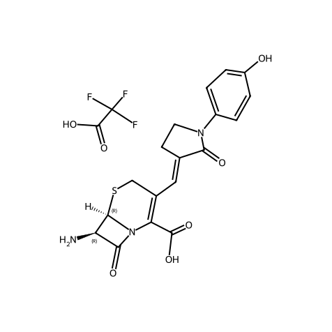 N[C@@H]1C(=O)N2C(C(=O)O)=C(C=C3CCN(c4ccc(O)cc4)C3=O)CS[C@H]12.O=C(O)C(F)(F)F